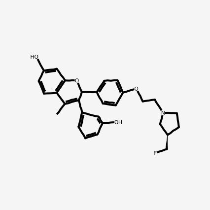 CC1=C(c2cccc(O)c2)C(c2ccc(OCCN3CC[C@@H](CF)C3)cc2)Oc2cc(O)ccc21